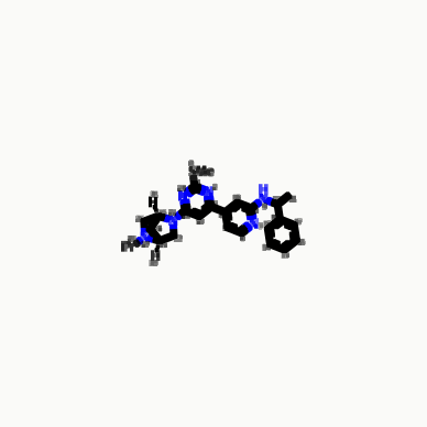 CSc1nc(-c2ccnc(NC(C)c3ccccc3)c2)cc(N2C[C@@H]3C[C@H]2CN3C(C)C)n1